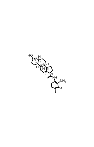 Cc1ccc(NC(=O)[C@H]2CC[C@H]3[C@@H]4CC[C@H]5C[C@](C)(O)CC[C@]5(C)[C@H]4CC[C@]23C)c(N)c1F